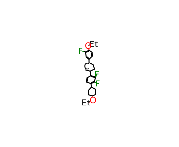 CCOc1ccc(C2CCC(c3ccc(C4CCC(OCC)CC4)c(F)c3F)CC2)cc1F